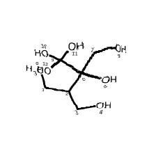 CCC(CO)C(O)(CO)C(O)(O)O